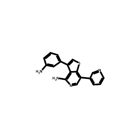 Nc1cccc(-c2csc3c(-c4cccnc4)cnc(N)c23)c1